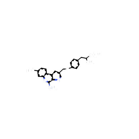 Cc1ccc2c(c1)nc(N)c1ncc(CCc3ccc(CC(C)C(=O)O)cc3)cc12